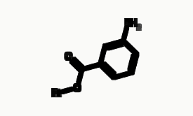 Bc1cccc(C(=O)OCC)c1